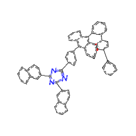 c1ccc(-c2ccc(-c3ccccc3-c3c4ccccc4c(-c4ccc(-c5nc(-c6ccc7ccccc7c6)nc(-c6ccc7ccccc7c6)n5)cc4)c4ccccc34)cc2)cc1